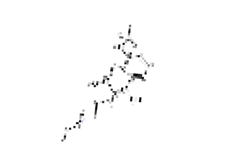 CC/C=C/CCOc1c(O)c2cccc(OC(C)(C)C)c2oc1=O